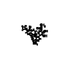 CNC(=O)[C@H]1O[C@@H](n2cnc3c(N)nc(C#CCN(C(=O)c4ccc(F)cc4)C4CCC4)nc32)[C@H](O)[C@@H]1O